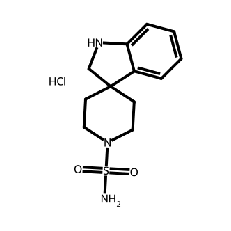 Cl.NS(=O)(=O)N1CCC2(CC1)CNc1ccccc12